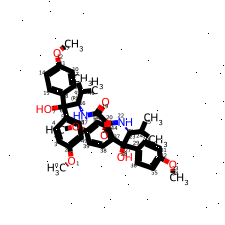 COc1ccc(C(O)(c2ccc(OC)cc2)[C@H](NC(=O)C(=O)N[C@H](C(C)C)C(O)(c2ccc(OC)cc2)c2ccc(OC)cc2)C(C)C)cc1